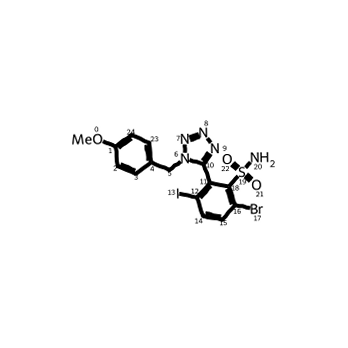 COc1ccc(Cn2nnnc2-c2c(I)ccc(Br)c2S(N)(=O)=O)cc1